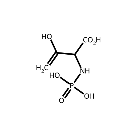 C=C(O)C(NP(=O)(O)O)C(=O)O